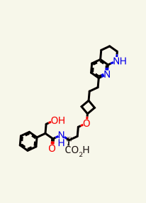 O=C(N[C@@H](CCOC1CC(CCc2ccc3c(n2)NCCC3)C1)C(=O)O)C(CO)c1ccccc1